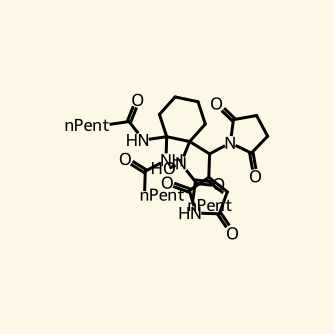 CCCCCC(=O)NC1(NC(=O)CCCCC)CCCCC1(C(C1=CC(=O)NC1=O)N1C(=O)CCC1=O)N(O)C(=O)CCCCC